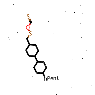 CCCCCC1CCC(C2CCC(CSOC=S)CC2)CC1